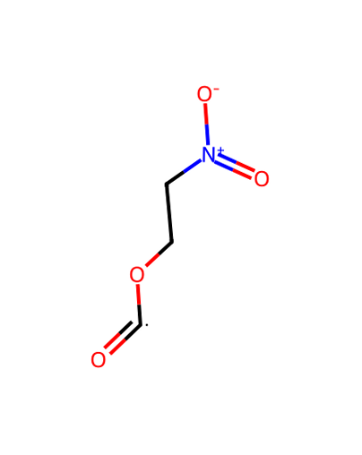 O=[C]OCC[N+](=O)[O-]